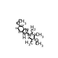 C=C1C(C)=C(OC)C(C)=CN1c1nc2cc(OC)ccc2[nH]1